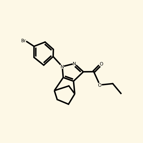 CCOC(=O)c1nn(-c2ccc(Br)cc2)c2c1C1CCC2C1